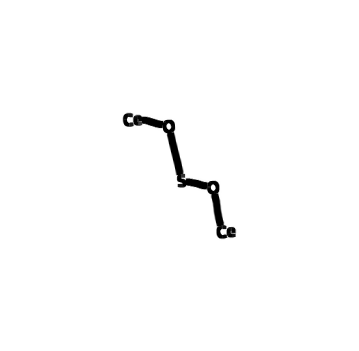 [Ce][O]S[O][Ce]